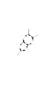 Cc1nc2nc(Cl)sc2nc1C